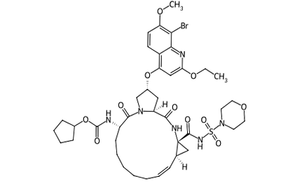 CCOc1cc(O[C@@H]2C[C@H]3C(=O)N[C@]4(C(=O)NS(=O)(=O)N5CCOCC5)C[C@H]4/C=C\CCCCC[C@H](NC(=O)OC4CCCC4)C(=O)N3C2)c2ccc(OC)c(Br)c2n1